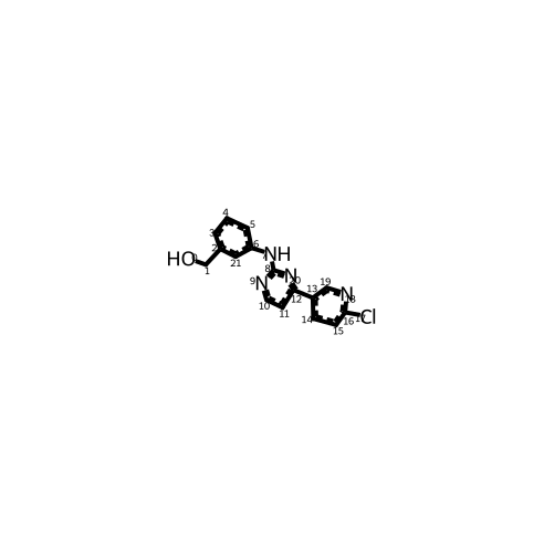 OCc1cccc(Nc2nccc(-c3ccc(Cl)nc3)n2)c1